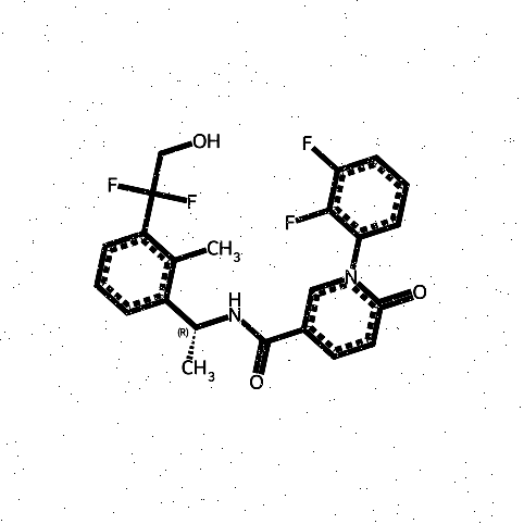 Cc1c([C@@H](C)NC(=O)c2ccc(=O)n(-c3cccc(F)c3F)c2)cccc1C(F)(F)CO